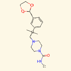 CCNC(=O)N1CCN(C[Si](C)(C)c2cccc(C3OCCO3)c2)CC1